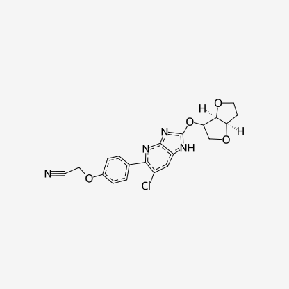 N#CCOc1ccc(-c2nc3nc(OC4CO[C@@H]5CCO[C@H]45)[nH]c3cc2Cl)cc1